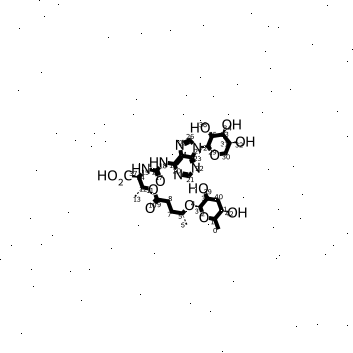 CC1O[C@H](O[C@H](C)CCC(=O)O[C@H](C)[C@H](NC(=O)Nc2ncnc3c2ncn3[C@@H]2OC[C@@H](O)[C@H](O)C2O)C(=O)O)C(O)C[C@@H]1O